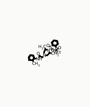 CCS(=O)(=O)c1ccccc1S(=O)(=O)N1C(C)CN(CC(=O)Nc2ccccc2C)CC1C